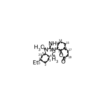 CCc1cccc(N(C)C(=N)N(C)c2cccc3ccc(=O)oc23)c1